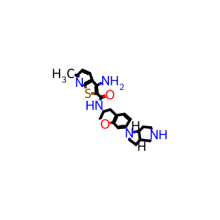 Cc1ccc2c(N)c(C(=O)N[C@H]3COc4cc(N5CC[C@H]6CNCC[C@H]65)ccc4C3)sc2n1